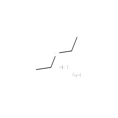 CCOCC.Cl.[BiH3]